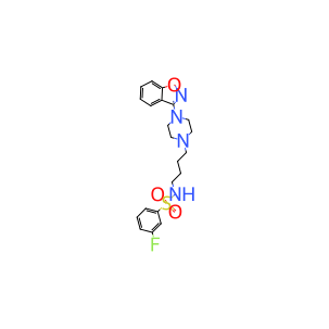 O=S(=O)(NCCCCN1CCN(c2noc3ccccc23)CC1)c1cccc(F)c1